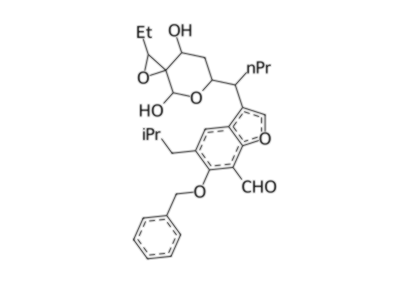 CCCC(c1coc2c(C=O)c(OCc3ccccc3)c(CC(C)C)cc12)C1CC(O)C2(OC2CC)C(O)O1